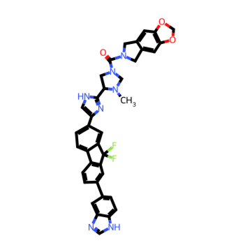 CN1CN(C(=O)N2Cc3cc4c(cc3C2)OCO4)CC1c1nc(-c2ccc3c(c2)C(F)(F)c2cc(-c4ccc5[nH]cnc5c4)ccc2-3)c[nH]1